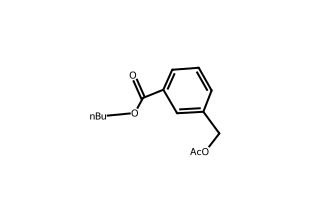 CCCCOC(=O)c1cccc(COC(C)=O)c1